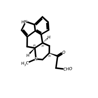 CN1C[C@H](C(=O)CC=O)C[C@@H]2c3cccc4[nH]cc(c34)C[C@H]21